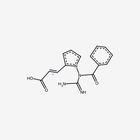 N=C(N)N(C(=O)c1ccccc1)n1cccc1/C=C/C(=O)O